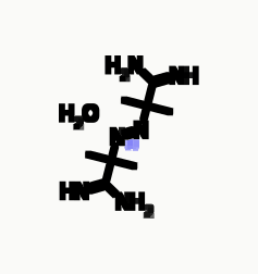 CC(C)(/N=N/C(C)(C)C(=N)N)C(=N)N.O